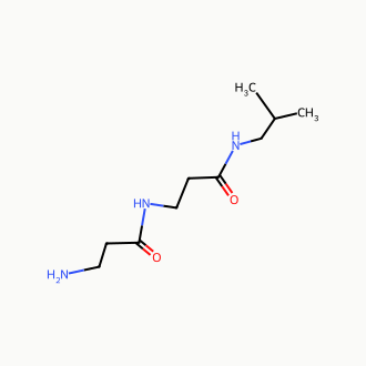 CC(C)CNC(=O)CCNC(=O)CCN